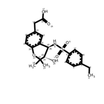 CCc1ccc(S(=O)(=O)N[C@@H]2c3cc(CC(=O)O)ccc3OC(C)(C)[C@H]2O)cc1